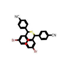 N#Cc1ccc(C(SC(c2ccc(C#N)cc2)c2cccc(Br)c2)c2cccc(Br)c2)cc1